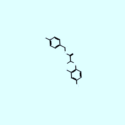 CCC(Oc1ccc(Cl)cc1Cl)C(=O)NCc1ccc(Cl)cc1